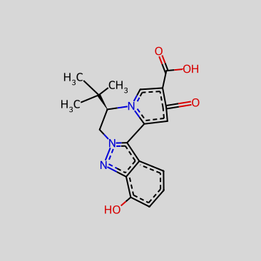 CC(C)(C)[C@@H]1Cn2nc3c(O)cccc3c2-c2cc(=O)c(C(=O)O)cn21